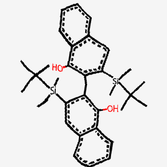 CC(C)(C)[Si](C)(C)c1cc2ccccc2c(O)c1-c1c([Si](C)(C)C(C)(C)C)cc2ccccc2c1O